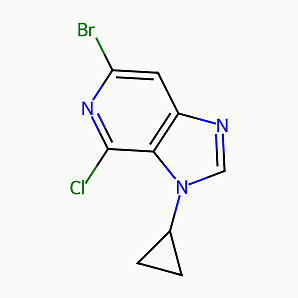 Clc1nc(Br)cc2ncn(C3CC3)c12